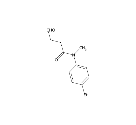 CCc1ccc(N(C)C(=O)CCC=O)cc1